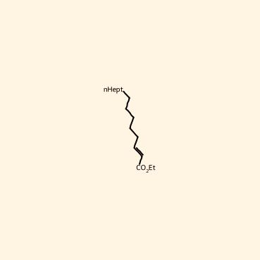 CCCCCCCCCCCCC=CC(=O)OCC